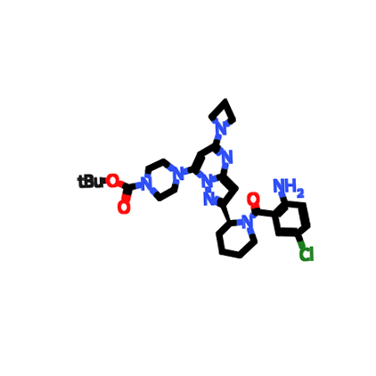 CC(C)(C)OC(=O)N1CCN(c2cc(N3CCC3)nc3cc([C@@H]4CCCCN4C(=O)c4cc(Cl)ccc4N)nn23)CC1